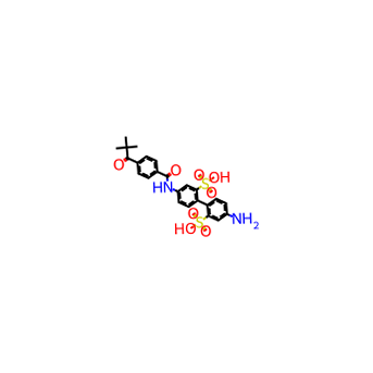 CC(C)(C)C(=O)c1ccc(C(=O)Nc2ccc(-c3ccc(N)cc3S(=O)(=O)O)c(S(=O)(=O)O)c2)cc1